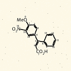 COc1ccc(C(=CC(=O)O)c2ccccc2)cc1[N+](=O)[O-]